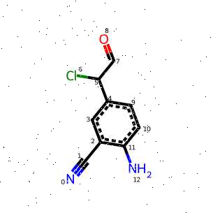 N#Cc1cc(C(Cl)C=O)ccc1N